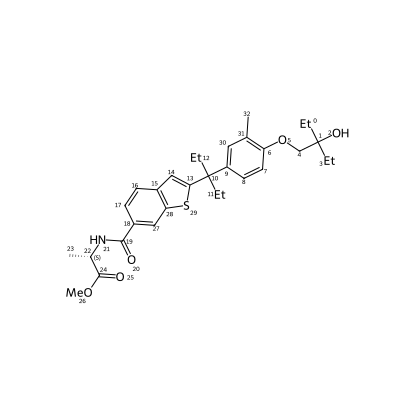 CCC(O)(CC)COc1ccc(C(CC)(CC)c2cc3ccc(C(=O)N[C@@H](C)C(=O)OC)cc3s2)cc1C